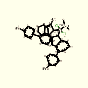 CCC1=Cc2c(-c3ccc(C(C)C)cc3)cccc2[CH]1[Zr]([Cl])([Cl])([CH]1C(C2CCCCC2)=Cc2c(-c3ccc(C(C)C)cc3)cccc21)[SiH](C)C